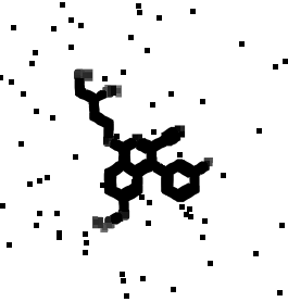 COc1ccc2c(OCC[C@H](O)CO)nc(C#N)c(-c3cccc(F)c3)c2c1